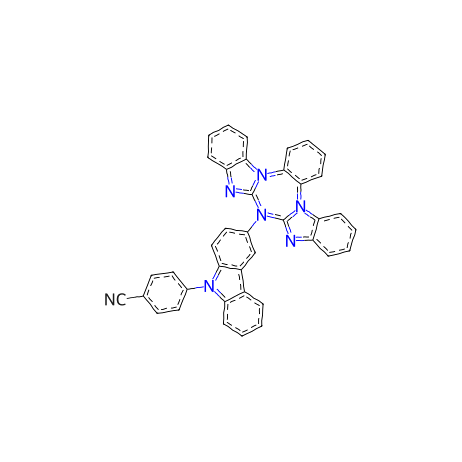 N#Cc1ccc(-n2c3ccccc3c3cc(-n4c5nc6ccccc6n5c5ccccc5n5c6ccccc6nc45)ccc32)cc1